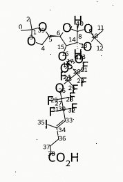 CC1(C)OCC([C@H]2O[C@@H]3OC(C)(C)O[C@H]3C2OS(=O)(=O)C(F)(F)C(F)(F)OC(F)(F)C(F)(F)C=C(I)CCC(=O)O)O1